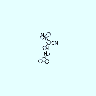 N#Cc1cc(-c2cccc(C3=NC(c4cc5ccccc5c5ccccc45)=CCC3)n2)cc(-n2c3ccccc3c3ncccc32)c1